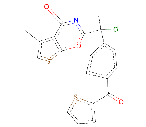 Cc1csc2oc(C(C)(Cl)c3ccc(C(=O)c4cccs4)cc3)nc(=O)c12